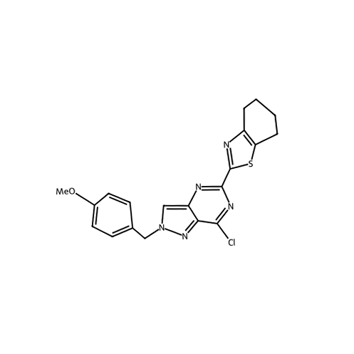 COc1ccc(Cn2cc3nc(-c4nc5c(s4)CCCC5)nc(Cl)c3n2)cc1